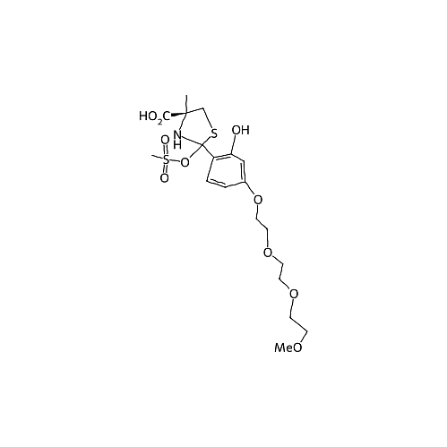 COCCOCCOCCOc1ccc(C2(OS(C)(=O)=O)N[C@@](C)(C(=O)O)CS2)c(O)c1